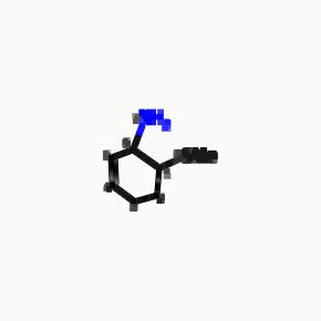 CSC1CCC=CC1N